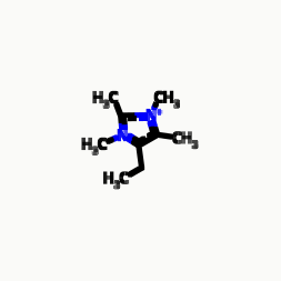 CCc1c(C)[n+](C)c(C)n1C